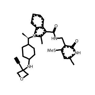 C#CC1(NC2CCC([C@@H](C)n3c(C)c(C(=O)NCc4c(SC)cc(C)[nH]c4=O)c4ccccc43)CC2)COC1